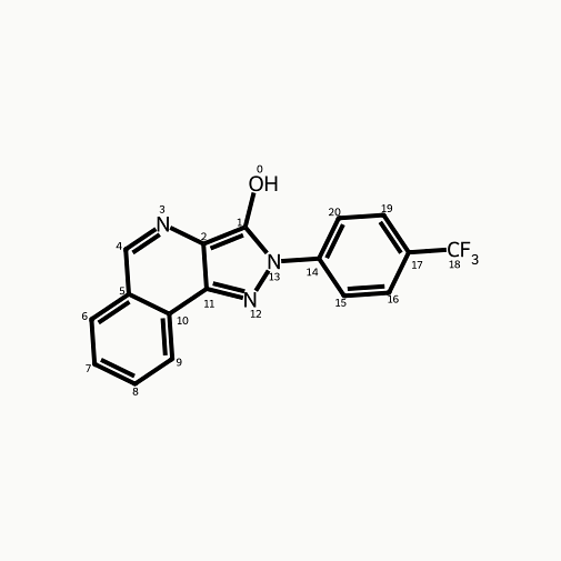 Oc1c2ncc3ccccc3c2nn1-c1ccc(C(F)(F)F)cc1